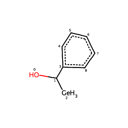 O[CH]([GeH3])c1ccccc1